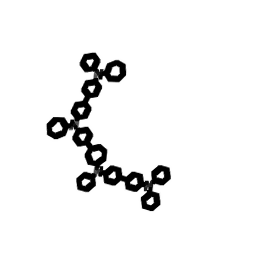 C1=CCC=CC(N(c2ccc(C3=CCC=C(N(C4=CCCC=C4)c4ccc(-c5ccc(N(C6=CCCC=C6)c6ccccc6)cc5)cc4)C=C3)cc2)c2ccc(-c3ccc(N(C4=CCC=CC=C4)c4ccccc4)cc3)cc2)=C1